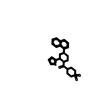 O=C(C1CCS(=O)(=O)CC1)N1CCN(c2cccc3ccccc23)CC1c1cccs1